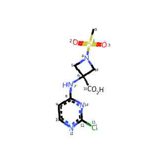 CS(=O)(=O)N1CC(Nc2ccnc(Cl)n2)(C(=O)O)C1